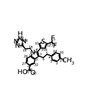 Cc1ccc(CCc2c(-c3csc(C(F)F)c3)n(CCc3nn[nH]n3)c3ccc(C(=O)O)cc23)cc1